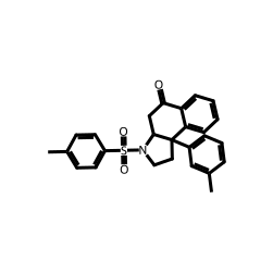 Cc1ccc(S(=O)(=O)N2CCC3(c4cccc(C)c4)c4ccccc4C(=O)CC23)cc1